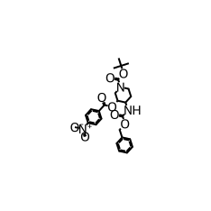 CC(C)(C)OC(=O)N1CCC(NC(=O)OCc2ccccc2)C(OC(=O)c2ccc([N+](=O)[O-])cc2)C1